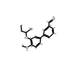 CCC(Br)Oc1cc(-c2cccc(C=O)c2)ccc1OC